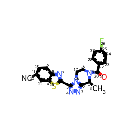 CC1c2nnc(-c3nc4ccc(C#N)cc4s3)n2CCN1C(=O)c1ccc(F)cc1